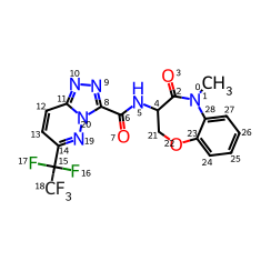 CN1C(=O)C(NC(=O)c2nnc3ccc(C(F)(F)C(F)(F)F)nn23)COc2ccccc21